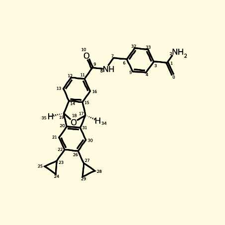 C=C(N)c1ccc(CNC(=O)c2ccc3c(c2)[C@@H]2O[C@H]3c3cc(C4CC4)c(C4CC4)cc32)cc1